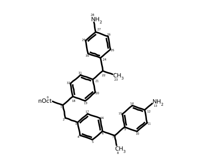 CCCCCCCCC(Cc1ccc(C(C)c2ccc(N)cc2)cc1)c1ccc(C(C)c2ccc(N)cc2)cc1